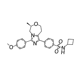 COc1ccc(-c2nc(-c3ccc(S(=O)(=O)NC4CCC4)cc3)c3n2C[C@@H](C)OCC3)cc1